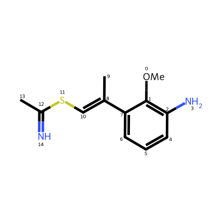 COc1c(N)cccc1/C(C)=C/SC(C)=N